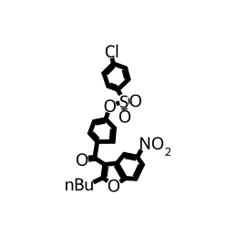 CCCCc1oc2ccc([N+](=O)[O-])cc2c1C(=O)c1ccc(OS(=O)(=O)c2ccc(Cl)cc2)cc1